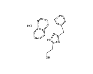 Cl.OCCc1nc(Cc2ccccc2)c[nH]1.c1ccc2ncccc2c1